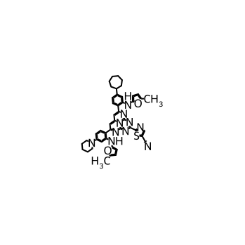 Cc1ccc(Nc2cc(C3CCCCCC3)ccc2C2=CC3=CC(c4ccc(N5CCCCC5)cc4Nc4ccc(C)o4)=NC4=NC(c5ncc(C#N)s5)=NC(=N2)N34)o1